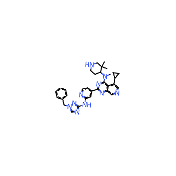 CN(c1nc(-c2ccnc(Nc3ncn(Cc4ccccc4)n3)c2)nc2cncc(C3CC3)c12)C1CCNCC1(C)C